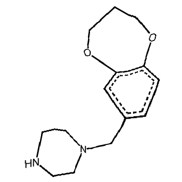 c1cc2c(cc1CN1CCNCC1)OCCCO2